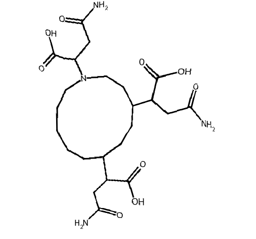 NC(=O)CC(C(=O)O)C1CCCCCN(C(CC(N)=O)C(=O)O)CCC(C(CC(N)=O)C(=O)O)CC1